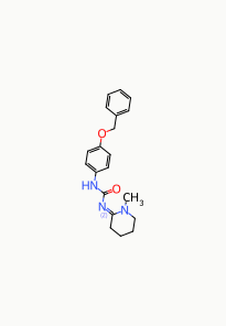 CN1CCCC/C1=N/C(=O)Nc1ccc(OCc2ccccc2)cc1